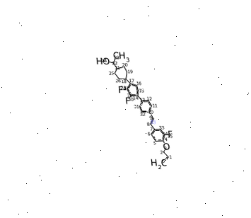 C=CCOc1ccc(/C=C/c2ccc(-c3ccc(C4CCC(C(C)O)CC4)c(F)c3F)cc2)cc1F